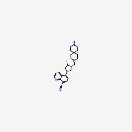 N#Cc1ccc(N2CC(F)[C@@H](CN3CCC4(CCNCC4)CC3)C2)c2cccnc12